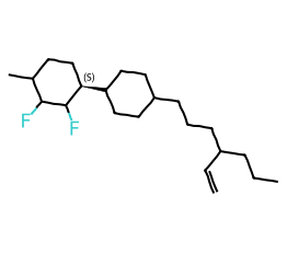 C=CC(CCC)CCCC1CCC([C@@H]2CCC(C)C(F)C2F)CC1